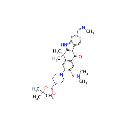 C/N=C\c1ccc2c3c([nH]c2c1)C(C)(C)c1cc(N2CCN(C(=O)OC(C)(C)C)CC2)c(SN(C)C)cc1C3=O